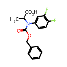 C[C@@H](C(=O)O)N(C(=O)OCc1ccccc1)c1ccc(F)c(F)c1